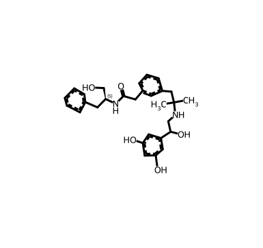 CC(C)(Cc1cccc(CC(=O)N[C@H](CO)Cc2ccccc2)c1)NCC(O)c1cc(O)cc(O)c1